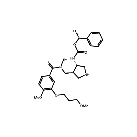 CC[C@H](OC(=O)N[C@@H]1CNC[C@H]1CN(C(=O)c1ccc(OC)c(OCCCOC)c1)C(C)C)c1ccccc1